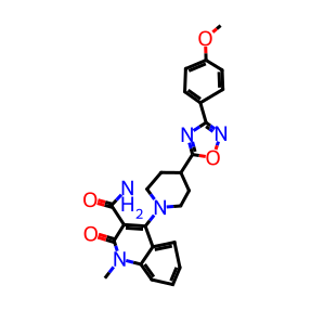 COc1ccc(-c2noc(C3CCN(c4c(C(N)=O)c(=O)n(C)c5ccccc45)CC3)n2)cc1